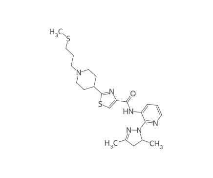 CSCCCN1CCC(c2nc(C(=O)Nc3cccnc3N3N=C(C)CC3C)cs2)CC1